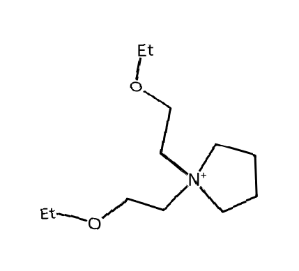 CCOCC[N+]1(CCOCC)CCCC1